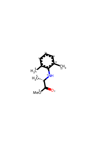 COC(=O)[C@H](C)Nc1c(C)cccc1C